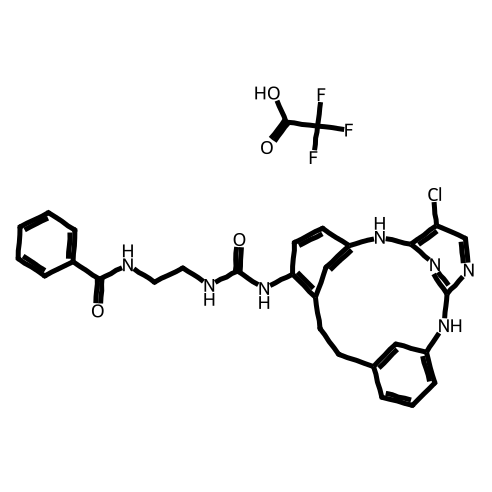 O=C(NCCNC(=O)c1ccccc1)Nc1ccc2cc1CCc1cccc(c1)Nc1ncc(Cl)c(n1)N2.O=C(O)C(F)(F)F